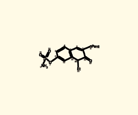 CCCCCC1=Cc2ccc(OS(N)(=O)=O)cc2C(CC)C1=O